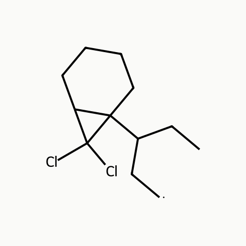 [CH2]CC(CC)C12CCCCC1C2(Cl)Cl